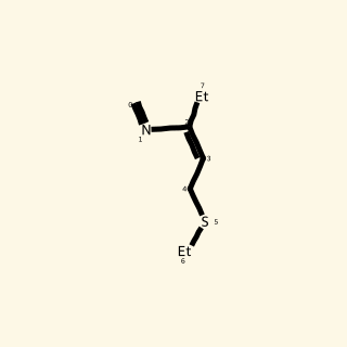 C=N/C(=C\CSCC)CC